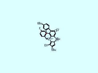 CCC1=[C](/[Zr+2](=[CH]/c2ccc(F)cc2)[c]2c(C(C)(C)C)ccc3c2Cc2cc(C(C)(C)C)ccc2-3)C(CC)C=C1C(C)(C)C.[Cl-].[Cl-]